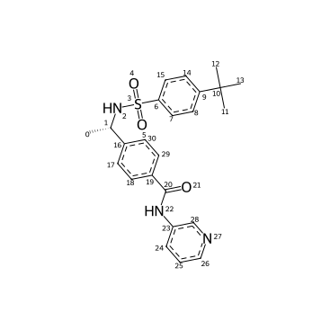 C[C@H](NS(=O)(=O)c1ccc(C(C)(C)C)cc1)c1ccc(C(=O)Nc2cccnc2)cc1